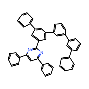 c1ccc(-c2cccc(-c3cccc(-c4cc(-c5ccccc5)cc(-c5nc(-c6ccccc6)cc(-c6ccccc6)n5)c4)c3)c2)cc1